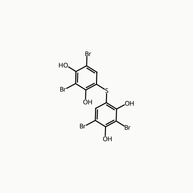 Oc1c(Br)cc(Sc2cc(Br)c(O)c(Br)c2O)c(O)c1Br